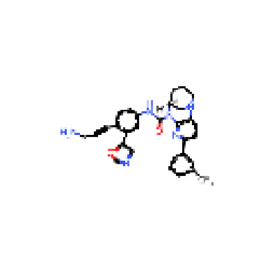 NCC#Cc1ccc(NC(=O)N2c3nc(-c4cccc(C(F)(F)F)c4)ccc3N3CCC[C@H]2C3)cc1-c1cnco1